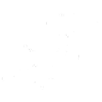 COC1=C(/C=C2\N(CCC(C)C)c3cc(C(F)(F)F)ccc3C2(C)C)C(=O)/C1=C/C1=[N+](CCC(C)C)c2cc(C(F)(F)F)ccc2C1(C)C